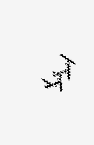 CCCCCCC(CCCC)COC(=O)CCCC(CCCCCC)OC(=O)OCCN(CCOC(=O)OC(CCCCCC)CCCC(=O)OCC(CCCC)CCCCCC)CCN(CC)CC